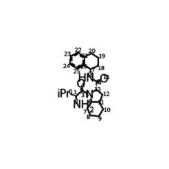 CC(C)[C@H](N)C(=O)N1C2CCCCC2C[C@H]1C(=O)N[C@@H]1CCCc2ccccc21